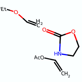 C=COC(C)=O.C=COCC.O=C1NCCO1